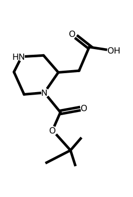 CC(C)(C)OC(=O)N1CCNCC1CC(=O)O